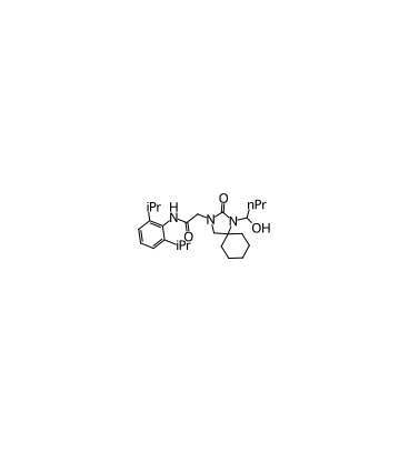 CCCC(O)N1C(=O)N(CC(=O)Nc2c(C(C)C)cccc2C(C)C)CC12CCCCC2